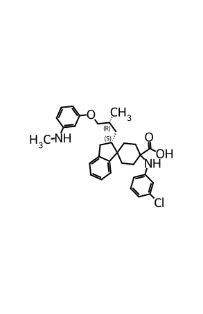 CNc1cccc(OC[C@H](C)C[C@H]2Cc3ccccc3C23CCC(Nc2cccc(Cl)c2)(C(=O)O)CC3)c1